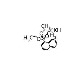 CCO[Si](OCC)(OCC)c1cccc2ccccc12.[KH]